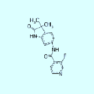 CC1(C)C(=O)Nc2cc(NC(=O)c3ccncc3F)ccc21